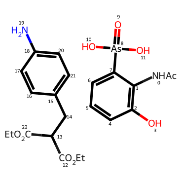 CC(=O)Nc1c(O)cccc1[As](=O)(O)O.CCOC(=O)C(Cc1ccc(N)cc1)C(=O)OCC